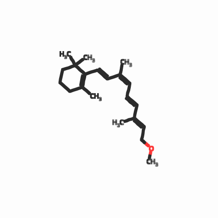 COC/C=C(C)/C=C/C=C(C)\C=C\C1=C(C)CCCC1(C)C